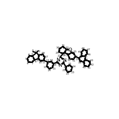 CC1(C)c2ccccc2-c2cc(-c3cccc(-c4nc(-c5ccccc5)nc(-c5cccc6oc7cc(-c8cc9ccccc9c9ccccc89)ccc7c56)n4)c3)ccc21